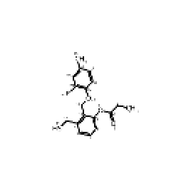 CCC(=O)Oc1cccc(CS)c1COc1ccc(C)cc1F